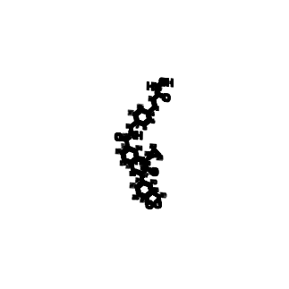 O=C(/C=C/c1ccc(CNC(=O)c2ccc(/C=C(\C(=O)NC3CC3)c3ccc4c(c3)COO4)cc2)cc1)NO